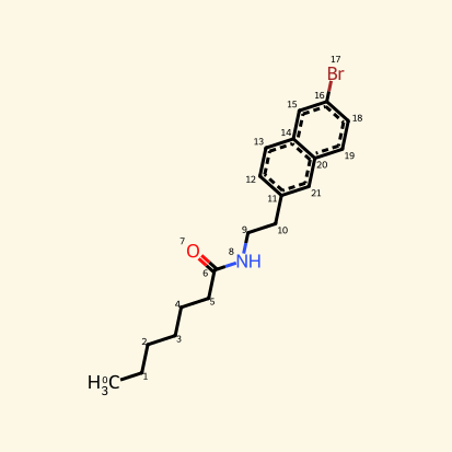 CCCCCCC(=O)NCCc1ccc2cc(Br)ccc2c1